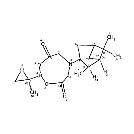 C[C@H]1C(N2CC(=O)OB([C@@]3(C)CO3)OC(=O)C2)CC2C[C@H]1C2(C)C